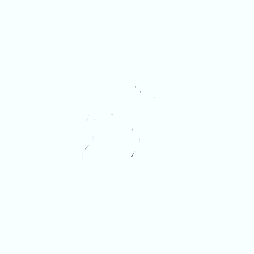 N[C@@H]1C2CC[C@@H](C2)C12C[C@@H]1CCC2O1